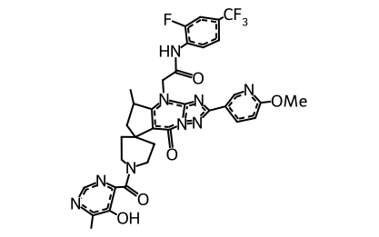 COc1ccc(-c2nc3n(CC(=O)Nc4ccc(C(F)(F)F)cc4F)c4c(c(=O)n3n2)C2(CCN(C(=O)c3ncnc(C)c3O)CC2)CC4C)cn1